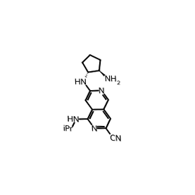 CC(C)Nc1nc(C#N)cc2cnc(N[C@@H]3CCC[C@H]3N)cc12